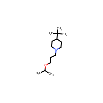 CC(C)OCCCN1CCC(C(C)(C)C)CC1